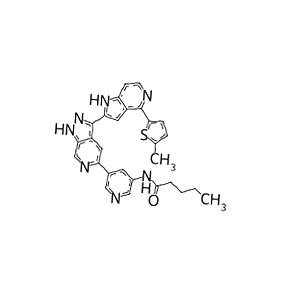 CCCCC(=O)Nc1cncc(-c2cc3c(-c4cc5c(-c6ccc(C)s6)nccc5[nH]4)n[nH]c3cn2)c1